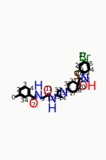 Cc1cccc(C(=O)NCC(=O)NC2CN([C@H]3CC[C@@](O)(c4nc5ccc(Br)cc5s4)CC3)C2)c1